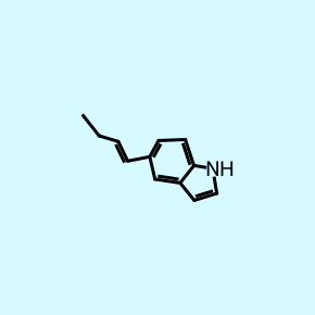 CCC=Cc1ccc2[nH]ccc2c1